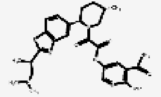 COc1ncc(NC(=O)C(=O)N2C[C@@H](C)CC[C@@H]2c2ccc3sc([C@H](C)CN(C)C)nc3c2)cc1C(N)=O